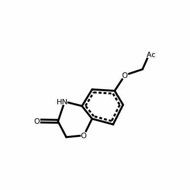 CC(=O)COc1ccc2c(c1)NC(=O)CO2